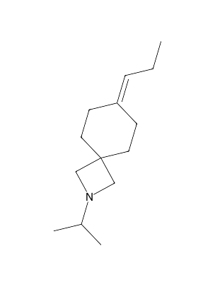 CCC=C1CCC2(CC1)CN(C(C)C)C2